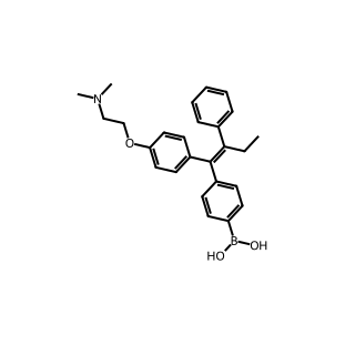 CC/C(=C(/c1ccc(OCCN(C)C)cc1)c1ccc(B(O)O)cc1)c1ccccc1